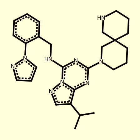 CC(C)c1cnn2c(NCc3ccccc3-n3cccn3)nc(N3CCCC4(CCCNC4)C3)nc12